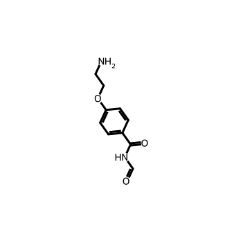 NCCOc1ccc(C(=O)NC=O)cc1